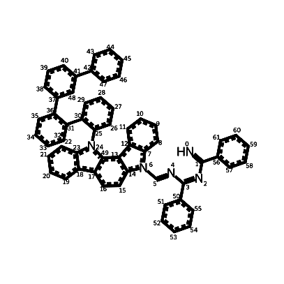 N=C(/N=C(\N=C\n1c2ccccc2c2c1ccc1c3ccccc3n(-c3ccccc3-c3ccccc3-c3cccc(-c4ccccc4)c3)c12)c1ccccc1)c1ccccc1